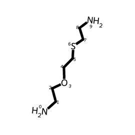 NCCOCCSCCN